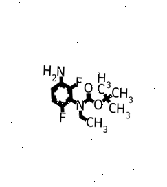 CCN(C(=O)OC(C)(C)C)c1c(F)ccc(N)c1F